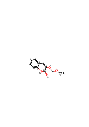 COCOc1cc2ccccc2oc1=O